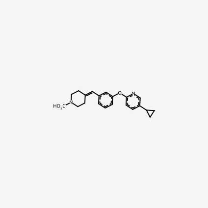 O=C(O)N1CCC(=Cc2cccc(Oc3ccc(C4CC4)cn3)c2)CC1